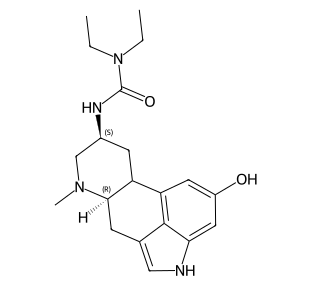 CCN(CC)C(=O)N[C@H]1CC2c3cc(O)cc4[nH]cc(c34)C[C@H]2N(C)C1